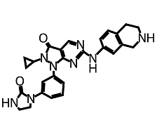 O=C1NCCN1c1cccc(-n2c3nc(Nc4ccc5c(c4)CNCC5)ncc3c(=O)n2C2CC2)c1